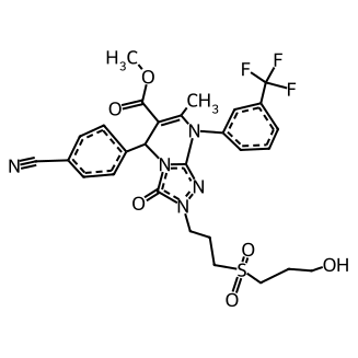 COC(=O)C1=C(C)N(c2cccc(C(F)(F)F)c2)c2nn(CCCS(=O)(=O)CCCO)c(=O)n2C1c1ccc(C#N)cc1